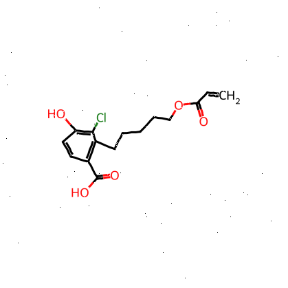 C=CC(=O)OCCCCCc1c(C(=O)O)ccc(O)c1Cl